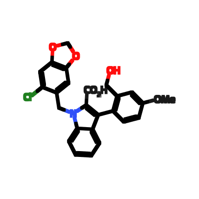 COc1ccc(-c2c(C(=O)O)n(Cc3cc4c(cc3Cl)OCO4)c3ccccc23)c(CO)c1